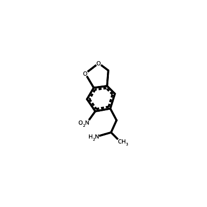 CC(N)Cc1cc2c(cc1[N+](=O)[O-])OOC2